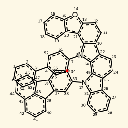 c1ccc(-c2ccc(-n3c4c(ccc5oc6ccccc6c54)c4ccc5c6ccccc6n(-c6ccc7c(c6)-c6cccc8cccc-7c68)c5c43)cc2)cc1